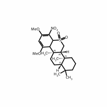 COC1=CC(OC)=C([N+](=O)[O-])C2C1[C@]1(C)CC[C@H]3C(C)(C)CCC[C@]3(C)[C@H]1CS2(=O)=O